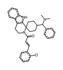 CN(C)C(c1ccccc1)C1CCC2(CC1)c1[nH]c3ccccc3c1CCN2C(=O)C=Cc1ccccc1Cl